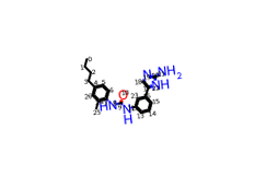 CCCCc1ccc(NC(=O)Nc2cccc(-c3cnc(N)[nH]3)c2)c(C)c1